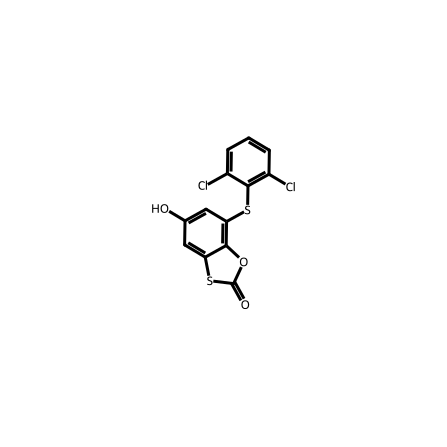 O=c1oc2c(Sc3c(Cl)cccc3Cl)cc(O)cc2s1